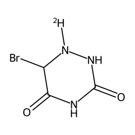 [2H]N1NC(=O)NC(=O)C1Br